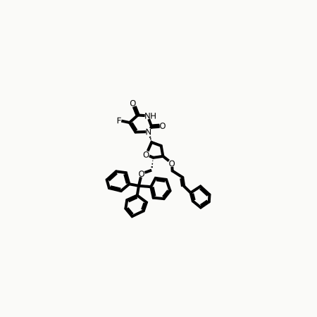 O=c1[nH]c(=O)n([C@@H]2CC(OC/C=C/c3ccccc3)[C@H](COC(c3ccccc3)(c3ccccc3)c3ccccc3)O2)cc1F